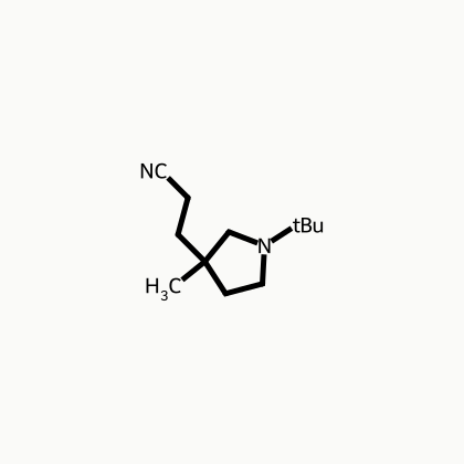 CC1(CCC#N)CCN(C(C)(C)C)C1